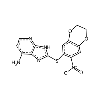 Nc1ncnc2[nH]c(Sc3cc4c(cc3[N+](=O)[O-])OCCO4)nc12